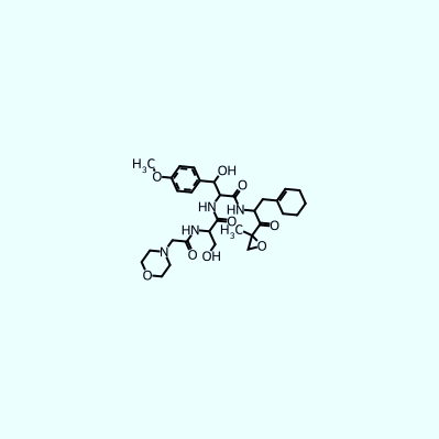 COc1ccc(C(O)C(NC(=O)C(CO)NC(=O)CN2CCOCC2)C(=O)NC(CC2=CCCCC2)C(=O)C2(C)CO2)cc1